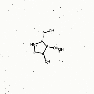 Cl.OC[C@H]1NC[C@H](O)[C@@H]1O